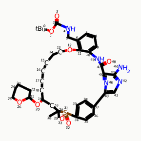 CC(C)(C)OC(=O)NCc1cccc2c1OCCCCCCC(OC1CCCCO1)CC(C)(C)S(=O)(=O)c1ccc(cc1)-c1cnc(N)c(n1)C(=O)N2